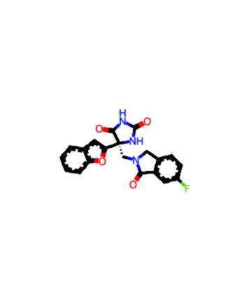 O=C1NC(=O)[C@](CN2Cc3ccc(F)cc3C2=O)(c2cc3ccccc3o2)N1